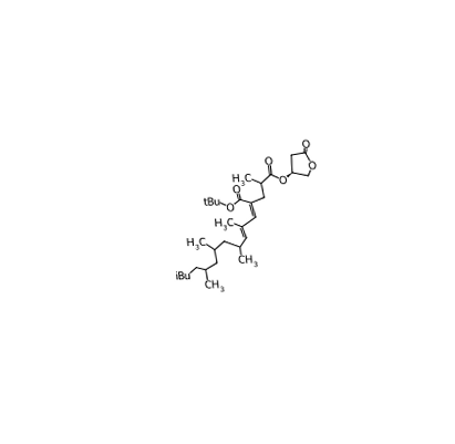 CCC(C)CC(C)CC(C)CC(C)/C=C(C)/C=C(/CC(C)C(=O)O[C@@H]1COC(=O)C1)C(=O)OC(C)(C)C